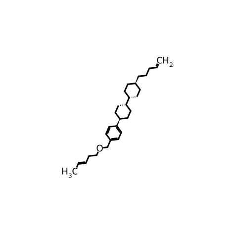 C=CCCC[C@H]1CC[C@H]([C@H]2CC[C@H](c3ccc(COCCC=CC)cc3)CC2)CC1